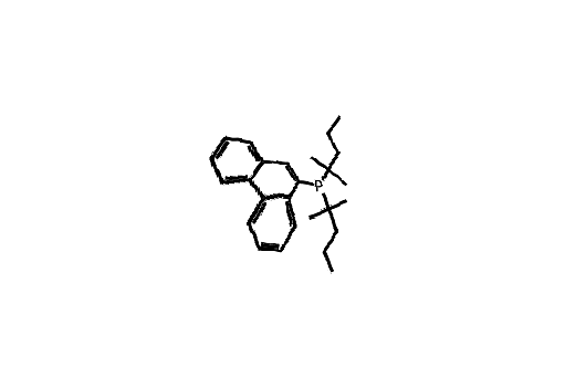 CCCC(C)(C)P(c1cc2ccccc2c2ccccc12)C(C)(C)CCC